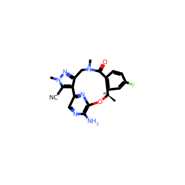 C[C@H]1Oc2nc(cnc2N)-c2c(nn(C)c2C#N)CN(C)C(=O)c2ccc(F)cc21